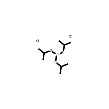 CC(C)[O][V+2]([O]C(C)C)[O]C(C)C.[Cl-].[Cl-]